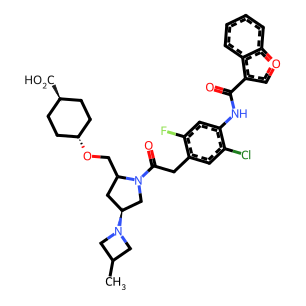 CC1CN([C@H]2CC(CO[C@H]3CC[C@H](C(=O)O)CC3)N(C(=O)Cc3cc(Cl)c(NC(=O)c4coc5ccccc45)cc3F)C2)C1